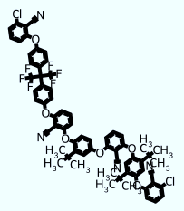 CC(C)(C)c1cc(Oc2cccc(Oc3ccc(Oc4cccc(Oc5ccc(C(c6ccc(Oc7cccc(Cl)c7C#N)cc6)(C(F)(F)F)C(F)(F)F)cc5)c4C#N)c(C(C)(C)C)c3)c2C#N)c(C(C)(C)C)cc1Oc1cccc(Cl)c1C#N